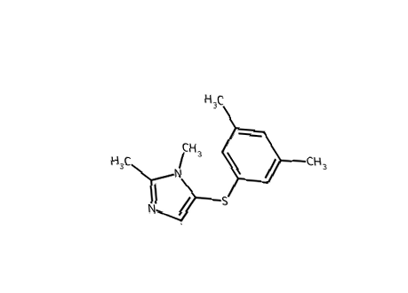 Cc1cc(C)cc(Sc2[c]nc(C)n2C)c1